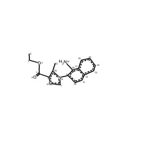 CCOC(=O)c1ncn(-c2ccc3ccccc3c2N)c1C